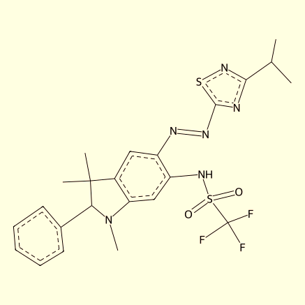 CC(C)c1nsc(N=Nc2cc3c(cc2NS(=O)(=O)C(F)(F)F)N(C)C(c2ccccc2)C3(C)C)n1